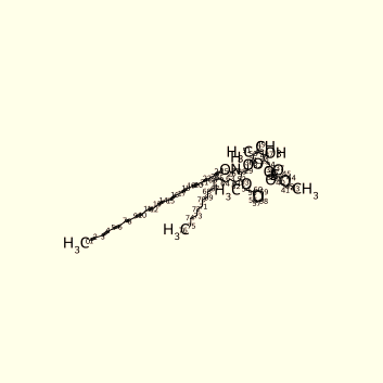 CC#CC#CC#CC#CC#CC#CC#CC#CC#CC#CC#CC#COCN[C@@H](CO[C@H]1OC(COS(=O)(=O)c2ccc(C)cc2)[C@H](O)[C@H](C)C1C)[C@H](OCc1ccccc1)[C@H](C)CC=CCCCCCCCCCCC